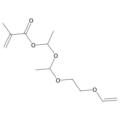 C=COCCOC(C)OC(C)OC(=O)C(=C)C